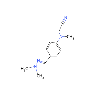 CN(C)N=Cc1ccc(N(C)CC#N)cc1